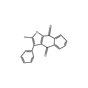 Cc1oc2c(c1-c1ccccc1)C(=O)c1ccccc1C2=O